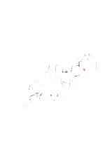 CCCCC(Cc1ccc(O)c(OC)c1)OC(CCCC)Cc1ccc(O)c(OC)c1